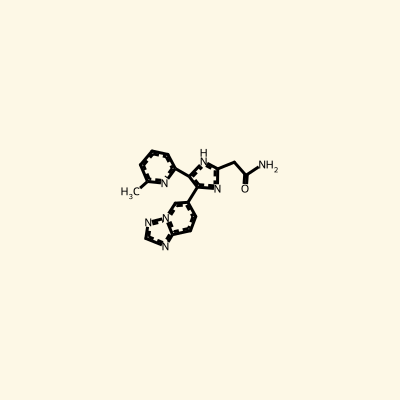 Cc1cccc(-c2[nH]c(CC(N)=O)nc2-c2ccc3ncnn3c2)n1